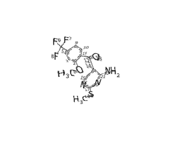 COc1cc(C(F)(F)F)ccc1C(=O)c1cnc(SC)nc1N